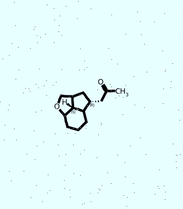 CC(=O)C[C@H]1CC2COC3CCCC1[C@@H]23